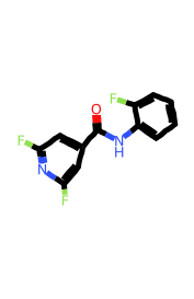 O=C(Nc1ccccc1F)c1cc(F)nc(F)c1